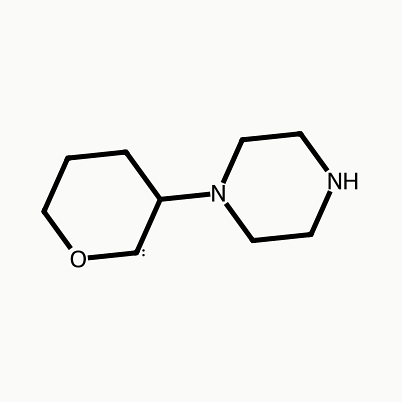 [C]1OCCCC1N1CCNCC1